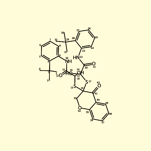 CC(C)(C)c1ccccc1NC(=O)C(O)SC1(SC(O)C(=O)Nc2ccccc2C(C)(C)C)COc2ccccc2C1=O